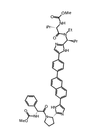 CCN(C(=O)[C@@H](NC(=O)OC)C(C)C)[C@H](c1ncc(-c2ccc(-c3ccc4cc(-c5cnc([C@@H]6CCCN6C(=O)[C@H](NC(=O)OC)c6ccccc6)[nH]5)ccc4c3)cc2)[nH]1)C(C)C